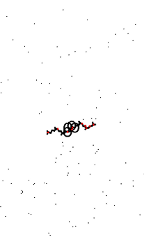 CC(C)=CCCC(C)=CCCC(C)=CCOC(=O)CC(=O)OCC=C(C)CCC=C(C)CCC=C(C)C